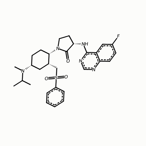 CC(C)N(C)[C@@H]1CC[C@H](N2CC[C@H](Nc3ncnc4ccc(F)cc34)C2=O)[C@H](CS(=O)(=O)c2ccccc2)C1